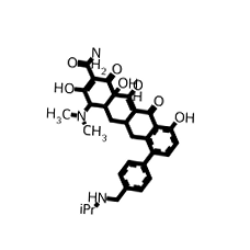 CC(C)NCc1ccc(-c2ccc(O)c3c2CC2CC4C(N(C)C)C(O)=C(C(N)=O)C(=O)C4(O)C(O)=C2C3=O)cc1